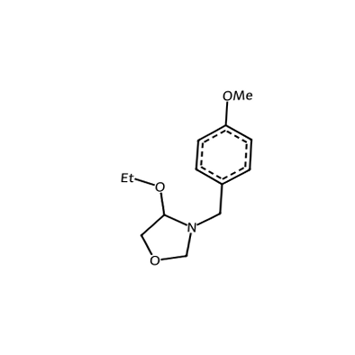 CCOC1COCN1Cc1ccc(OC)cc1